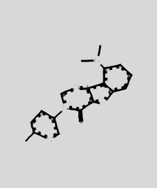 Cc1ccc(-n2cnc3c(sc4cccc(N(C)C)c43)c2=O)cn1